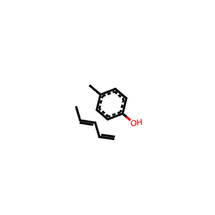 C=CC=CC.Cc1ccc(O)cc1